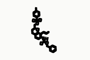 CC=Cc1c(NC(=O)OCc2ccccc2)ccc2c1OC(COS(=O)(=O)c1ccc(C)cc1)CC2